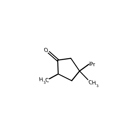 CC1CC(C)(C(C)C)CC1=O